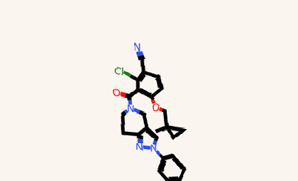 CC1(COc2ccc(C#N)c(Cl)c2C(=O)N2CCc3nn(-c4ccccc4)cc3C2)CC1